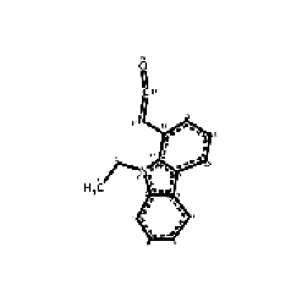 CCn1c2ccccc2c2c[c]cc(N=C=O)c21